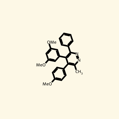 COc1ccc(-c2c(C)nnc(-c3ccccc3)c2-c2cc(OC)cc(OC)c2)cc1